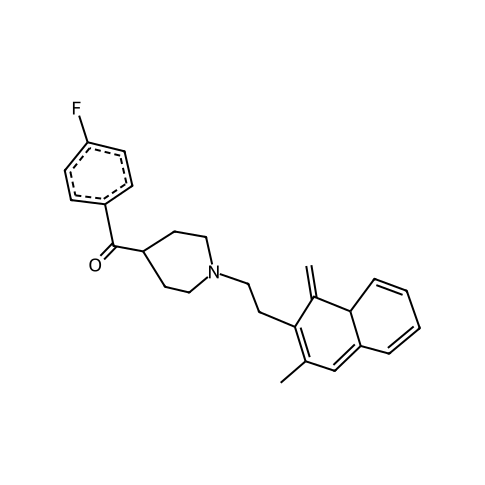 C=C1C(CCN2CCC(C(=O)c3ccc(F)cc3)CC2)=C(C)C=C2C=CC=CC12